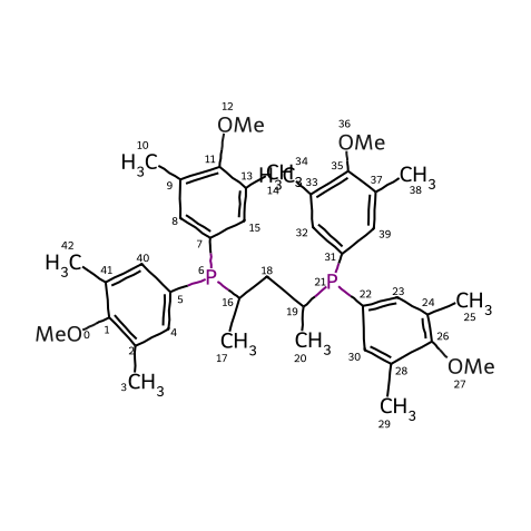 COc1c(C)cc(P(c2cc(C)c(OC)c(C)c2)C(C)CC(C)P(c2cc(C)c(OC)c(C)c2)c2cc(C)c(OC)c(C)c2)cc1C